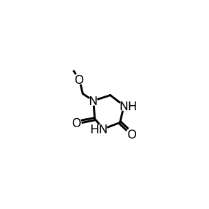 COCN1CNC(=O)NC1=O